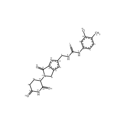 Cc1ccc(NC(=S)NCc2cc3c(s2)C(=O)N(C2CCC(=O)NC2=O)C3)cc1Cl